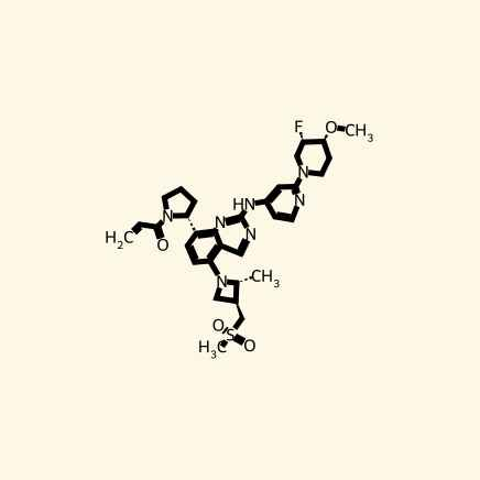 C=CC(=O)N1CCC[C@@H]1c1ccc(N2C[C@H](CS(C)(=O)=O)[C@H]2C)c2cnc(Nc3ccnc(N4CC[C@@H](OC)[C@@H](F)C4)c3)nc12